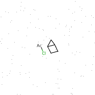 C1CC2CC12.CC(=O)Cl